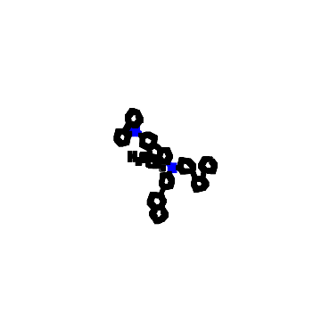 CC1(C)c2cc(N(c3ccc(-c4ccc5ccccc5c4)cc3)c3cccc(-c4ccccc4-c4ccccc4)c3)ccc2-c2ccc(-n3c4ccccc4c4ccccc43)cc21